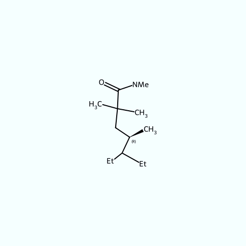 CCC(CC)[C@H](C)CC(C)(C)C(=O)NC